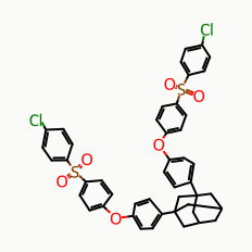 O=S(=O)(c1ccc(Cl)cc1)c1ccc(Oc2ccc(C34CC5CC(C3)CC(c3ccc(Oc6ccc(S(=O)(=O)c7ccc(Cl)cc7)cc6)cc3)(C5)C4)cc2)cc1